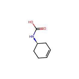 O=C(O)N[C@H]1CC=CCC1